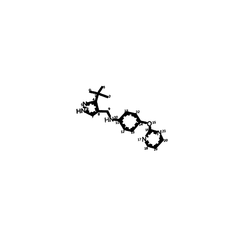 CC(C)(C)c1n[nH]cc1CNc1ccc(Oc2ncccn2)cc1